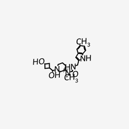 Cc1ccc2[nH]c(CNC(=O)N(C)[C@@H]3CCCN(C(O)C4CC(O)C4)C3)cc2c1